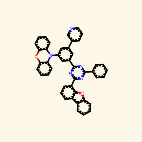 c1ccc(-c2nc(-c3cc(-c4cccnc4)cc(N4c5ccccc5Oc5ccccc54)c3)nc(-c3cccc4c3oc3ccccc34)n2)cc1